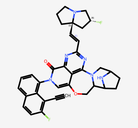 C#Cc1c(F)ccc2cccc(-n3cc4c5c(nc(/C=C/[C@@]67CCCN6C[C@H](F)C7)nc5c3=O)N3CC5CCC(N5)C3CO4)c12